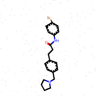 O=C(CCc1ccc(CN2CCCC2)cc1)Nc1ccc(Br)cc1